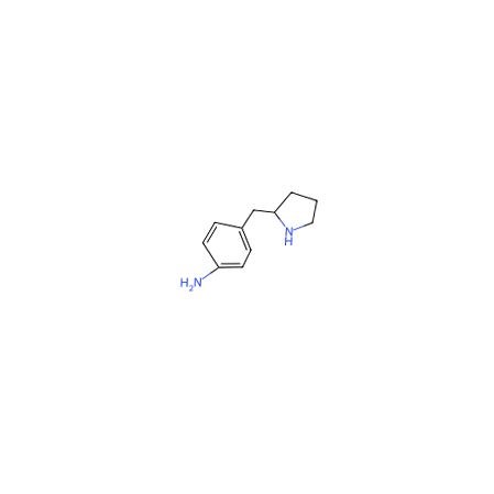 Nc1ccc(CC2CCCN2)cc1